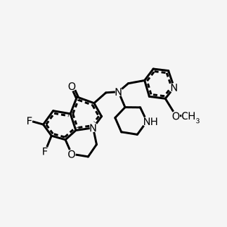 COc1cc(CN(Cc2cn3c4c(c(F)c(F)cc4c2=O)OCC3)C2CCCNC2)ccn1